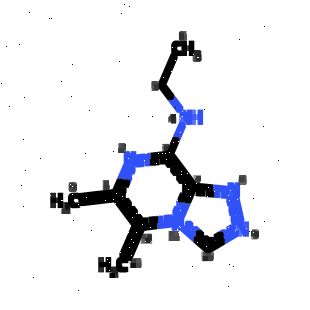 C=c1nc(NCC)c2nncn2c1=C